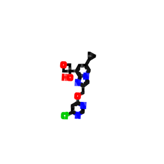 OC1(c2cc(C3CC3)cn3cc(COc4cc(Cl)ncn4)nc23)COC1